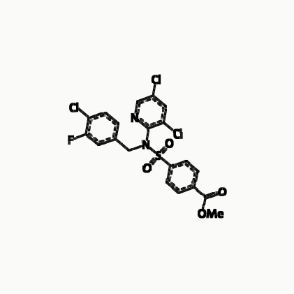 COC(=O)c1ccc(S(=O)(=O)N(Cc2ccc(Cl)c(F)c2)c2ncc(Cl)cc2Cl)cc1